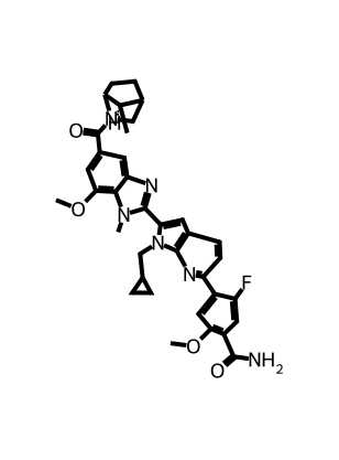 COc1cc(-c2ccc3cc(-c4nc5cc(C(=O)N6CC7CCC6[C@@H]7C)cc(OC)c5n4C)n(CC4CC4)c3n2)c(F)cc1C(N)=O